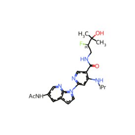 CC(=O)Nc1cnc2c(ccn2-c2cc(NC(C)C)c(C(=O)NC[C@@H](F)C(C)(C)O)cn2)c1